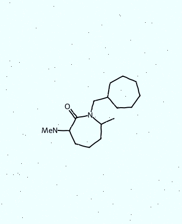 CNC1CCCC(C)N(CC2CCCCCC2)C1=O